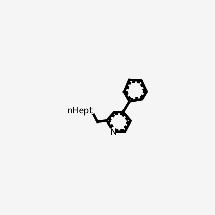 CCCCCCCCc1cc(-c2ccccc2)ccn1